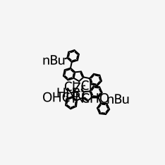 CCCCc1ccccc1-c1cccc2c1C=C(c1ccccc1)[CH]2[Zr]([Cl])([Cl])([B](NC=O)NC=O)[CH]1C(c2ccccc2)=Cc2c(-c3ccccc3CCCC)cccc21